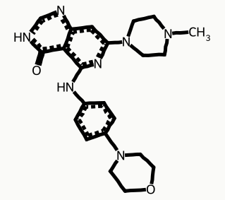 CN1CCN(c2cc3nc[nH]c(=O)c3c(Nc3ccc(N4CCOCC4)cc3)n2)CC1